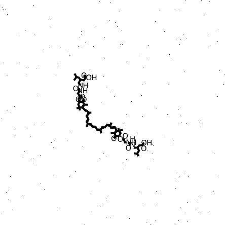 CC(C=CC=C(C)C=CC1=C(C)C(=O)C(OC(=O)CNC(=O)NCC(CC(=O)O)CC(C)C)CC1(C)C)=CC=CC=C(C)C=CC=C(C)C=CC1=C(C)C(=O)C(OC(=O)CNC(=O)NCC(CC(=O)O)CC(C)C)CC1(C)C